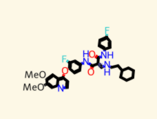 COc1cc2nccc(Oc3ccc(NC(=O)/C(=C/NCCC4CCCCC4)C(=O)Nc4ccc(F)cc4)cc3F)c2cc1OC